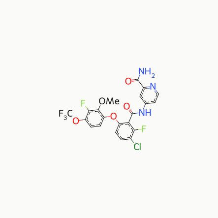 COc1c(Oc2ccc(Cl)c(F)c2C(=O)Nc2ccnc(C(N)=O)c2)ccc(OC(F)(F)F)c1F